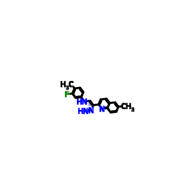 Cc1ccc2nc(/C(=C/Nc3ccc(C)c(F)c3)N=N)ccc2c1